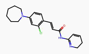 O=C(/C=C/c1ccc(N2CCCCCC2)cc1Cl)NC1=NCCC=C1